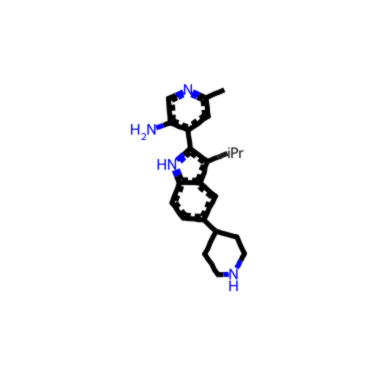 Cc1cc(-c2[nH]c3ccc(C4CCNCC4)cc3c2C(C)C)c(N)cn1